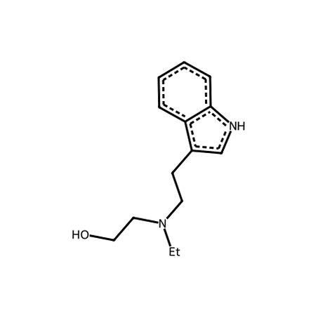 CCN(CCO)CCc1c[nH]c2ccccc12